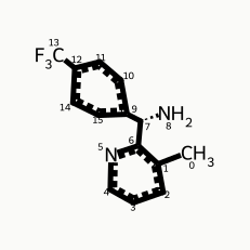 Cc1cccnc1[C@@H](N)c1ccc(C(F)(F)F)cc1